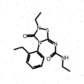 CCNC(=O)/N=c1/sn(CC)c(=O)n1-c1ccccc1CC